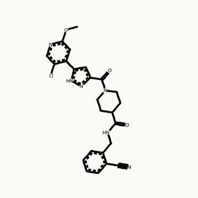 COc1cc(-c2cc(C(=O)N3CCC(C(=O)NCc4ccccc4C#N)CC3)n[nH]2)c(Cl)cn1